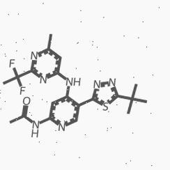 CC(=O)Nc1cc(Nc2cc(C)nc(C(C)(F)F)n2)c(-c2nnc(C(C)(C)C)s2)cn1